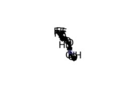 O=C(/C=C/c1ccc(CNC(=O)COc2ccc3c(c2)CCC(=Cc2cc(C(F)(F)F)cc(C(F)(F)F)c2)C3=O)cc1)NOC1CCCCO1